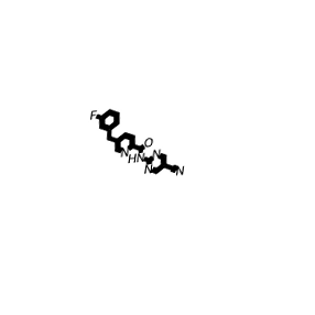 N#Cc1cnc(NC(=O)c2ccc(Cc3cccc(F)c3)cn2)nc1